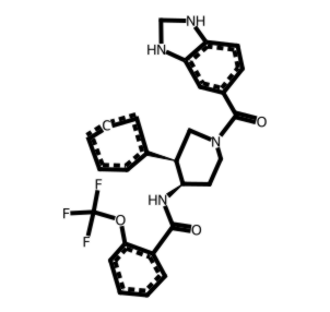 O=C(N[C@@H]1CCN(C(=O)c2ccc3c(c2)NCN3)C[C@@H]1c1ccccc1)c1ccccc1OC(F)(F)F